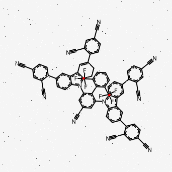 N#Cc1ccc(C2=Cc3c(n(-c4cc(C#N)cc(-n5c6ccc(-c7ccc(C#N)cc7C#N)cc6c6cc(-c7ccc(C#N)cc7C#N)ccc65)c4-c4c(C(F)(F)F)cccc4C(F)(F)F)c4ccc(-c5ccc(C#N)cc5C#N)cc34)CC2)c(C#N)c1